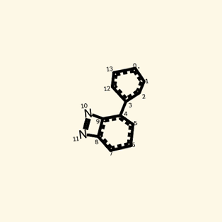 [c]1ccc(-c2cccc3c2N=N3)cc1